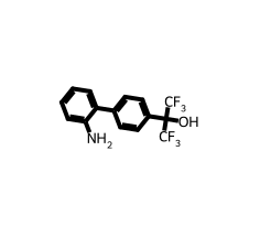 Nc1ccccc1-c1ccc(C(O)(C(F)(F)F)C(F)(F)F)cc1